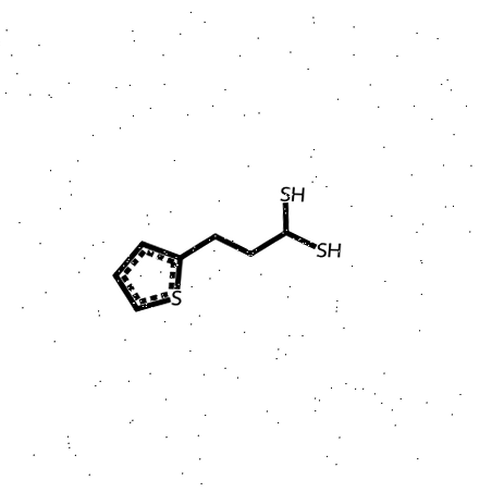 SC(S)CCc1cccs1